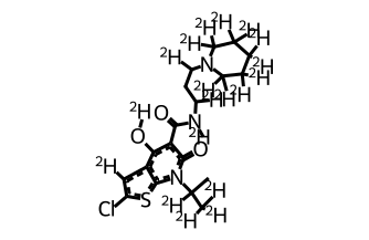 [2H]Oc1c(C(=O)N([2H])C([2H])CC([2H])N2C([2H])([2H])C([2H])([2H])C([2H])([2H])C([2H])([2H])C2([2H])[2H])c(=O)n(C([2H])(C)C([2H])([2H])[2H])c2sc(Cl)c([2H])c12